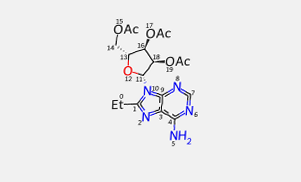 CCc1nc2c(N)ncnc2n1[C@@H]1O[C@H](COC(C)=O)[C@@H](OC(C)=O)[C@H]1OC(C)=O